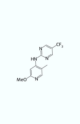 COc1cc(Nc2ncc(C(F)(F)F)cn2)c(C)cn1